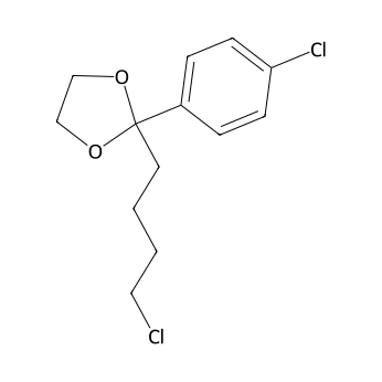 ClCCCCC1(c2ccc(Cl)cc2)OCCO1